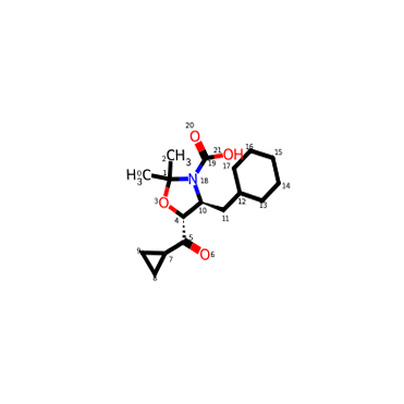 CC1(C)O[C@@H](C(=O)C2CC2)[C@H](CC2CCCCC2)N1C(=O)O